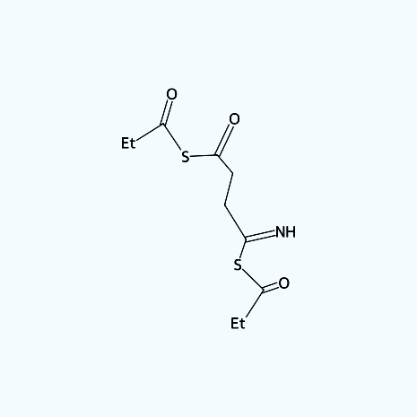 CCC(=O)SC(=N)CCC(=O)SC(=O)CC